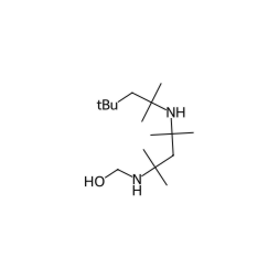 CC(C)(C)CC(C)(C)NC(C)(C)CC(C)(C)NCO